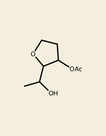 CC(=O)OC1CCOC1C(C)O